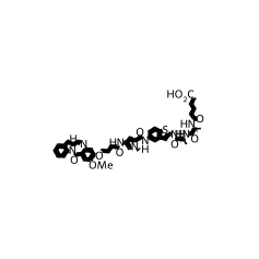 COc1cc2c(cc1OCCCC(=O)Nc1cc(C(=O)Nc3ccc4sc(NC(=O)[C@H](C)NC(=O)[C@H](C)NC(=O)CCCCC(=O)O)cc4c3)n(C)c1)N=C[C@@H]1Cc3ccccc3N1C2=O